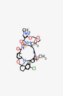 CO[C@H]1/C=C/C[C@H](C)C[S@@](=O)(NC(=O)c2cn(C)nc2OCC2OCCO2)=NC(=O)c2ccc3c(c2)N(C[C@@H]2CC[C@H]21)C[C@@]1(CCCc2cc(Cl)ccc21)CO3